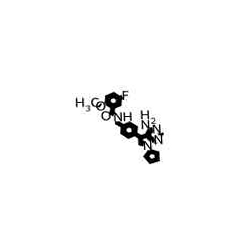 COc1ccc(F)cc1C(=O)NCc1ccc(C2C=[N+](C3CCCC3)c3ncnc(N)c32)cc1